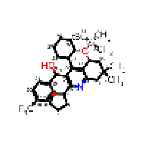 CC1(C)Cc2nc(C3CCCC3)c(C(O)c3ccc(C(F)(F)F)cc3)c(C3CCCCC3)c2[C@H](O[Si](C)(C)C(C)(C)C)C1